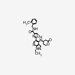 CCn1ncc2c(NC3CCOC(=O)C3)c(-c3nc(C(=O)NCc4ccccc4C)co3)cnc21